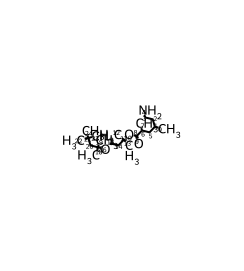 CC(CCN)CC(C)C(=O)OC(C)(C)CCOC(C)(C)CC(C)(C)C